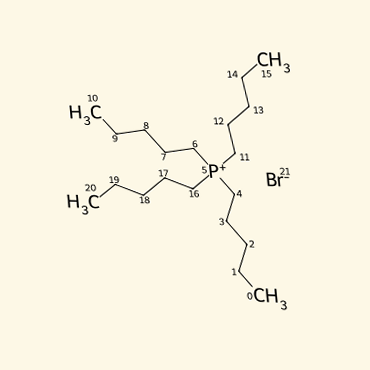 CCCCC[P+](CCCCC)(CCCCC)CCCCC.[Br-]